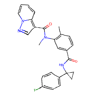 Cc1ccc(C(=O)NC2(c3ccc(F)cc3)CC2)cc1N(C)C(=O)c1cnn2ccccc12